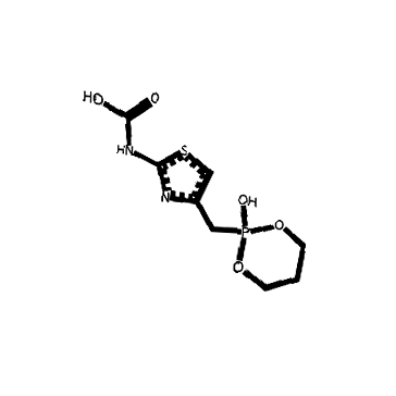 O=C(O)Nc1nc(C[P]2(O)OCCCO2)cs1